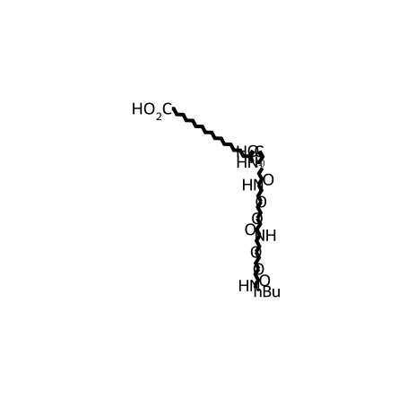 C=C[C@H](CCC(=O)NCCOCCOCC(=O)NCCOCCOCC(=O)NCCCC)NC(=O)CCCCCCCCCCCCCCCCC(=O)O